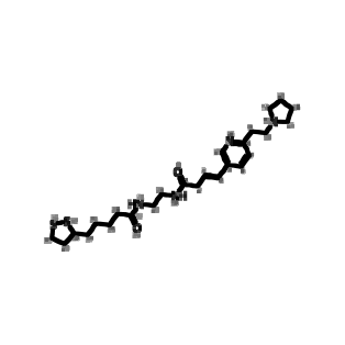 O=C(CC=Cc1ccc(CCN2CCCC2)nc1)NCCNC(=O)CCCCC1CCSS1